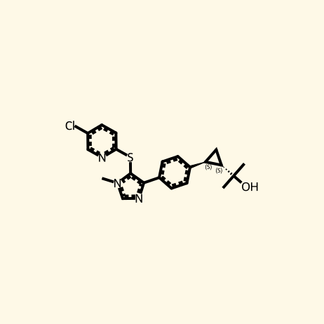 Cn1cnc(-c2ccc([C@H]3C[C@@H]3C(C)(C)O)cc2)c1Sc1ccc(Cl)cn1